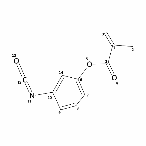 C=C(C)C(=O)Oc1cccc(N=C=O)c1